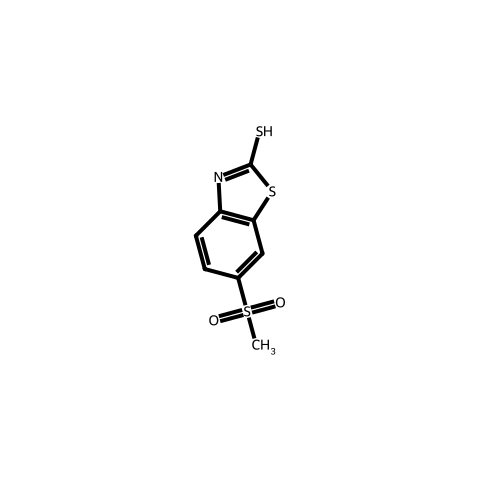 CS(=O)(=O)c1ccc2nc(S)sc2c1